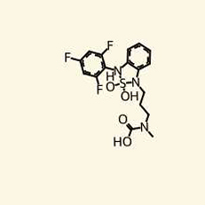 CN(CCCN1c2ccccc2N(c2c(F)cc(F)cc2F)S1(O)O)C(=O)O